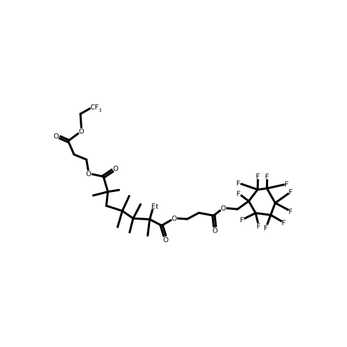 CCC(C)(C(=O)OCCC(=O)OCC1(F)C(F)(F)C(F)(F)C(F)(F)C(F)(F)C1(F)F)C(C)(C)C(C)(C)CC(C)(C)C(=O)OCCC(=O)OCC(F)(F)F